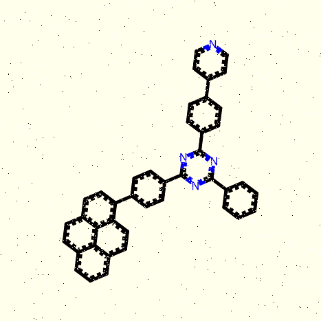 c1ccc(-c2nc(-c3ccc(-c4ccncc4)cc3)nc(-c3ccc(-c4ccc5ccc6cccc7ccc4c5c67)cc3)n2)cc1